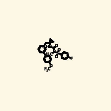 CN(C(=O)NC1(Cc2cccc(-c3ccc(OC(F)(F)F)cc3)c2)CC1)S(=O)(=O)c1ccc(F)cc1